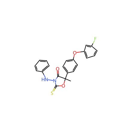 CC1(c2ccc(Oc3cccc(F)c3)cc2)OC(=S)N(Nc2ccccc2)C1=O